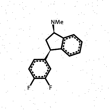 CN[C@@H]1C[C@H](c2ccc(F)c(F)c2)c2ccccc21